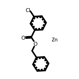 O=C(OCc1ccccc1)c1cccc(Cl)c1.[Zn]